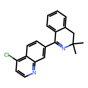 CC1(C)Cc2ccccc2C(c2ccc3c(Cl)ccnc3c2)=N1